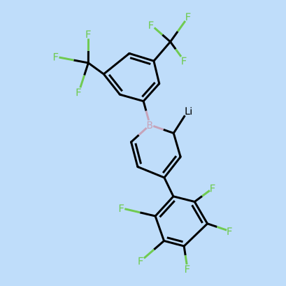 [Li][CH]1C=C(c2c(F)c(F)c(F)c(F)c2F)C=CB1c1cc(C(F)(F)F)cc(C(F)(F)F)c1